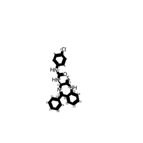 O=C(Nc1ccc(Cl)cc1)N[C@@H]1N=C(c2ccccc2)c2ccccc2NC1=S